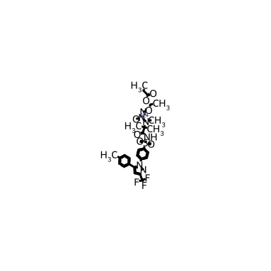 CCC(=O)OC(C)O/N=[N+](/[O-])N(C)C(C)(C)C(=O)NS(=O)(=O)c1ccc(-n2nc(C(F)(F)F)cc2-c2ccc(C)cc2)cc1